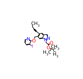 CCC#Cc1cc2cnn(CC(=O)OC(C)(C)C)c2cc1COc1ncccc1I